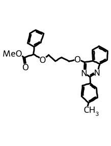 COC(=O)C(OCCCCOc1nc(-c2ccc(C)cc2)nc2ccccc12)c1ccccc1